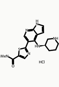 CNC(=O)c1cnc(-c2cnc3[nH]ccc3c2N[C@@H]2CCCNC2)s1.Cl